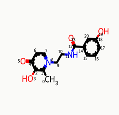 Cc1c(O)c(=O)ccn1CCNC(=O)c1cccc(O)c1